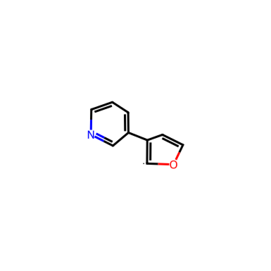 [c]1occc1-c1cccnc1